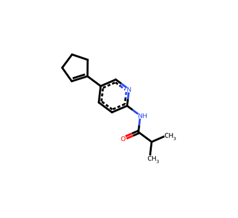 CC(C)C(=O)Nc1ccc(C2=CCCC2)cn1